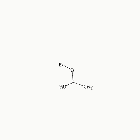 [CH2]C(O)OCC